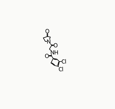 O=C1CCN(C(=O)CNC(=O)c2ccc(Cl)c(Cl)c2)C1